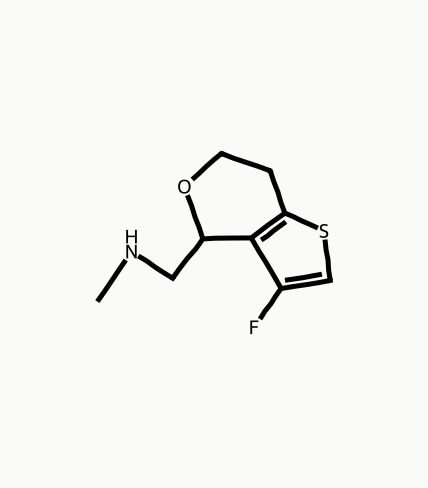 CNCC1OCCc2scc(F)c21